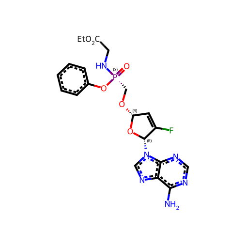 CCOC(=O)CN[P@](=O)(CO[C@@H]1C=C(F)[C@H](n2cnc3c(N)ncnc32)O1)Oc1ccccc1